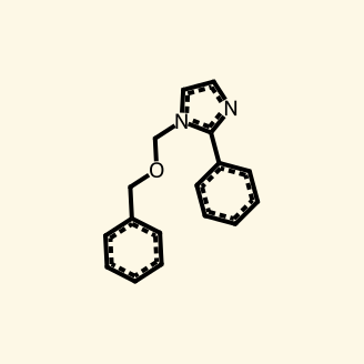 c1ccc(COCn2ccnc2-c2ccccc2)cc1